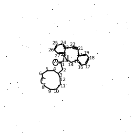 O=C(CC1CCCCCCCCC1)N1Cc2ccccc2C#Cc2ccccc21